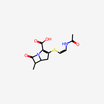 CC(=O)N/C=C\SC1=C(C(=O)O)N2C(=O)C(C)C2C1